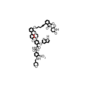 O=C1CCC(N2C(=O)c3cccc(C#CCCCOc4cccc(-c5ccc(Cl)cc5)c4CN4CCN(c5ccc(C(=O)NS(=O)(=O)c6ccc(NCC7CCOCC7)c([N+](=O)[O-])c6)c(Oc6cnc7[nH]ccc7c6)c5)CC4)c3C2=O)C(=O)N1